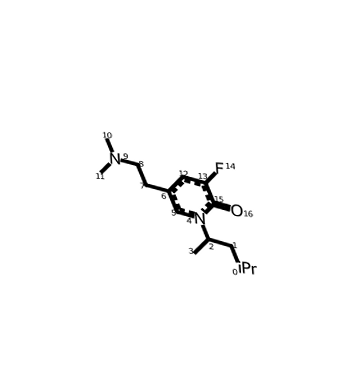 CC(C)CC(C)n1cc(CCN(C)C)cc(F)c1=O